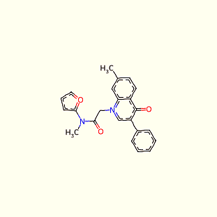 Cc1ccc2c(=O)c(-c3ccccc3)cn(CC(=O)N(C)c3ccco3)c2c1